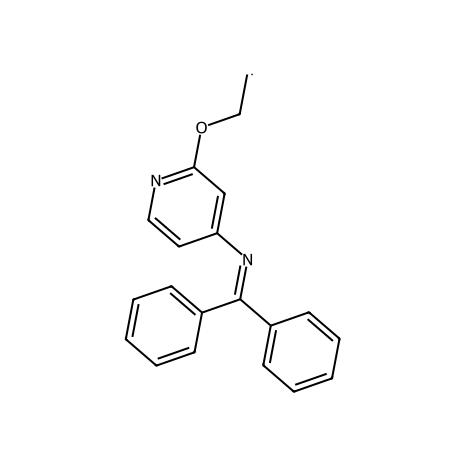 [CH2]COc1cc(N=C(c2ccccc2)c2ccccc2)ccn1